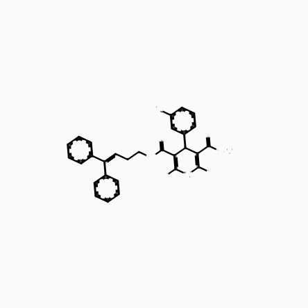 COC(=O)C1=C(C)NC(C)=C(C(=O)OCCC=C(c2ccccc2)c2ccccc2)C1c1cccc([N+](=O)[O-])c1